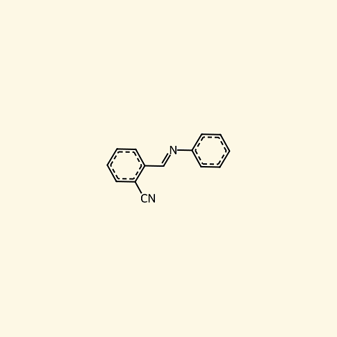 N#Cc1ccccc1C=Nc1ccccc1